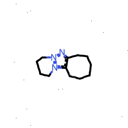 C1CCCc2c(n[n+]3n2CCCC3)CC1